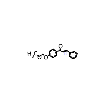 COCOc1ccc(C(=O)/C=C/c2ccccc2)cc1